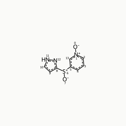 [O-][n+]1cccc([S+]([O-])c2cc[nH]n2)c1